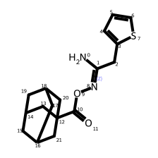 N/C(Cc1cccs1)=N\OC(=O)C12CC3CC(CC(C3)C1)C2